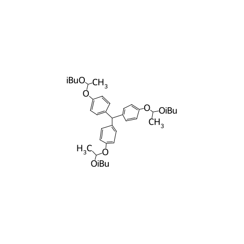 CC(C)COC(C)Oc1ccc(C(c2ccc(OC(C)OCC(C)C)cc2)c2ccc(OC(C)OCC(C)C)cc2)cc1